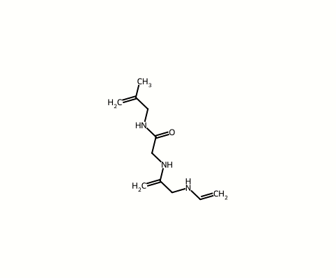 C=CNCC(=C)NCC(=O)NCC(=C)C